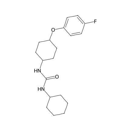 O=C(NC1CCCCC1)NC1CCC(Oc2ccc(F)cc2)CC1